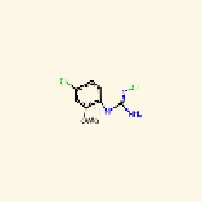 COc1cc(Cl)ccc1NC(N)=NCl